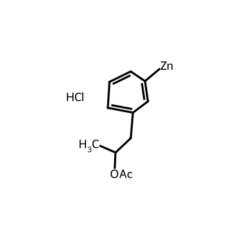 CC(=O)OC(C)Cc1ccc[c]([Zn])c1.Cl